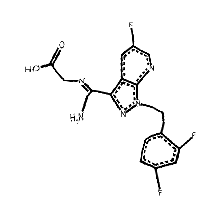 NC(=NCC(=O)O)c1nn(Cc2ccc(F)cc2F)c2ncc(F)cc12